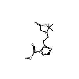 COC(=O)n1ccnc1CCN1CC(=O)NC1(C)C